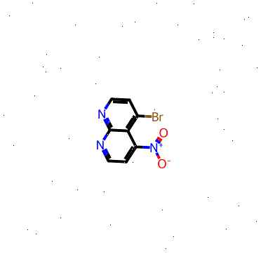 O=[N+]([O-])c1ccnc2nccc(Br)c12